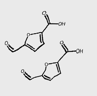 O=Cc1ccc(C(=O)O)o1.O=Cc1ccc(C(=O)O)o1